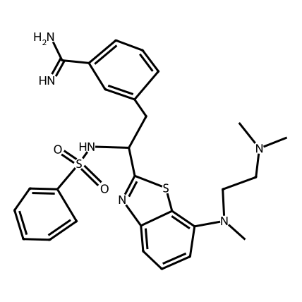 CN(C)CCN(C)c1cccc2nc(C(Cc3cccc(C(=N)N)c3)NS(=O)(=O)c3ccccc3)sc12